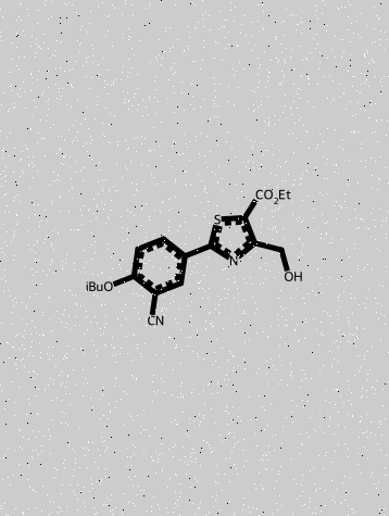 CCOC(=O)c1sc(-c2ccc(OCC(C)C)c(C#N)c2)nc1CO